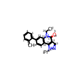 [CH]c1ccccc1-c1ccc2c3c(cnn3C(C)C)c(=O)n(CC(F)(F)F)c2c1